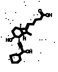 CC1C(=CCCCC(=O)O)[C@]2(C)CC[C@H](O)[C@@H](C#CC(O)C3CCCCC3)[C@H]12